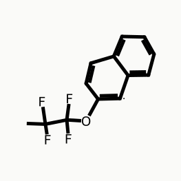 CC(F)(F)C(F)(F)Oc1[c]c2ccccc2cc1